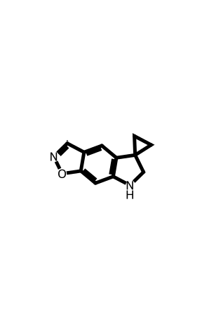 [c]1noc2cc3c(cc12)C1(CC1)CN3